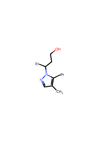 CCC(CCO)n1ncc(C)c1C(C)C